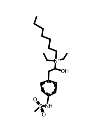 CCCCCCC[N+](CC)(CC)C(O)Cc1ccc(NS(C)(=O)=O)cc1